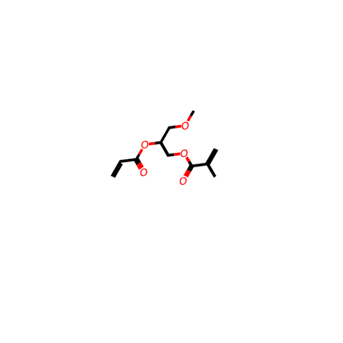 C=CC(=O)OC(COC)COC(=O)C(=C)C